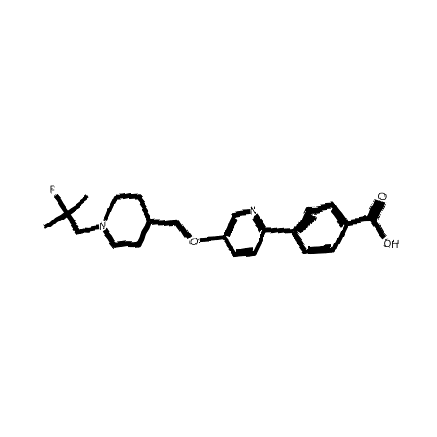 CC(C)(F)CN1CCC(COc2ccc(-c3ccc(C(=O)O)cc3)nc2)CC1